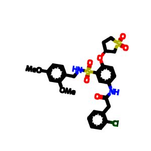 COc1ccc(CNS(=O)(=O)c2cc(NC(=O)Cc3ccccc3Cl)ccc2O[C@H]2CCS(=O)(=O)C2)c(OC)c1